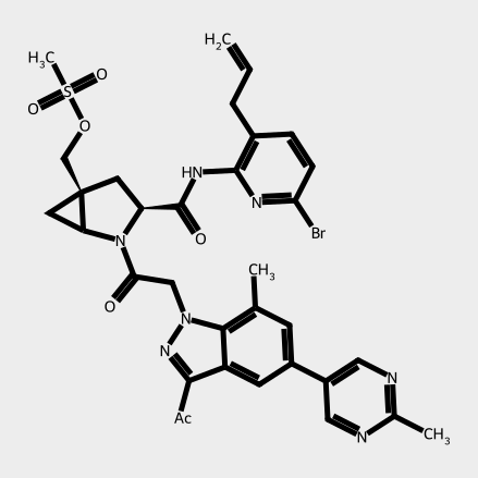 C=CCc1ccc(Br)nc1NC(=O)[C@@H]1C[C@@]2(COS(C)(=O)=O)CC2N1C(=O)Cn1nc(C(C)=O)c2cc(-c3cnc(C)nc3)cc(C)c21